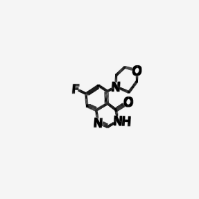 O=c1[nH]cnc2cc(F)cc(N3CCOCC3)c12